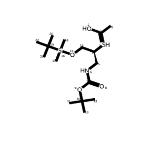 CC(O)=[SH][C@@H](CNC(=O)OC(C)(C)C)CO[Si](C)(C)C(C)(C)C